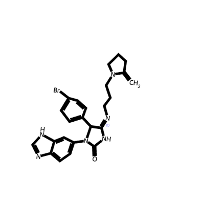 C=C1CCCN1CCC/N=C1/NC(=O)N(c2ccc3nc[nH]c3c2)C1c1ccc(Br)cc1